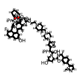 CC(C)[C@@H](C(=O)N1C[C@H](O)C[C@H]1C(=O)N[C@@H](C)c1ccc(-c2ccnn2C)cc1)c1cc(N2CCN(CC3(F)CCN(CCOc4nc(N5CC6CCC(C5)N6C(=O)OC(C)(C)C)c5cnc(-c6cc(O)cc7ccc(F)c(C#C[Si](C(C)C)(C(C)C)C(C)C)c67)c(F)c5n4)CC3)CC2)no1